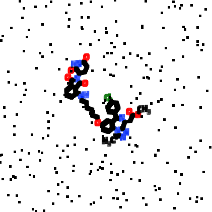 COC(=O)C[C@@H]1N=C(c2ccc(Cl)cc2)c2cc(OCCCCCCNc3cccc4c3C(=O)N(C3CCC(=O)NC3=O)C4=O)ccc2-n2c(C)nnc21